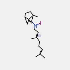 CC(C)=CCC/C(C)=C/CN(I)C1CC2CCC1(C)C2(C)C